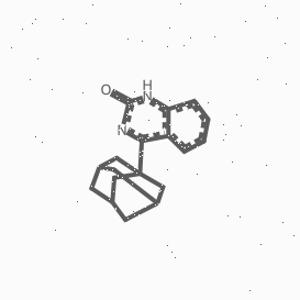 O=c1nc(C23CC4CC(CC(C4)C2)C3)c2ccccc2[nH]1